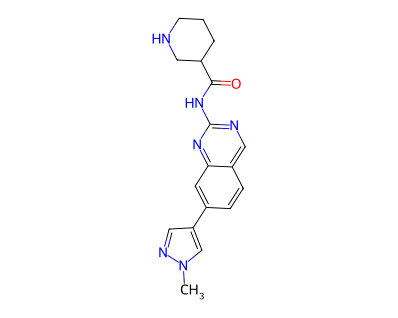 Cn1cc(-c2ccc3cnc(NC(=O)C4CCCNC4)nc3c2)cn1